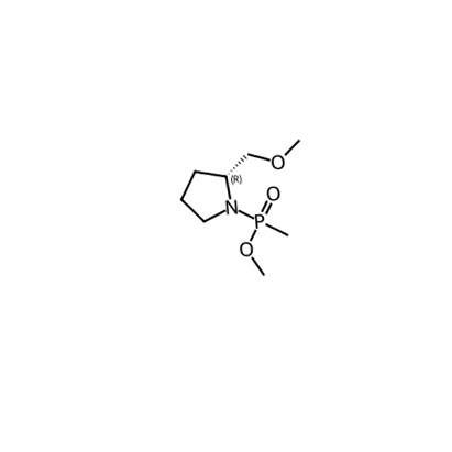 COC[C@H]1CCCN1P(C)(=O)OC